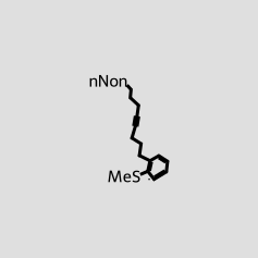 CCCCCCCCCCCCC#CCCCc1ccc[c]c1SC